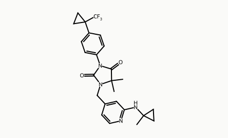 CC1(Nc2cc(CN3C(=O)N(c4ccc(C5(C(F)(F)F)CC5)cc4)C(=O)C3(C)C)ccn2)CC1